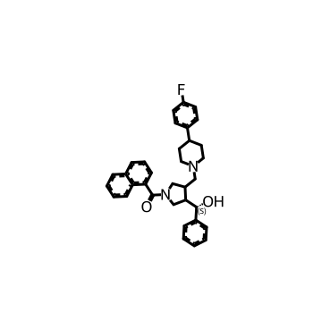 O=C(c1cccc2ccccc12)N1CC(CN2CCC(c3ccc(F)cc3)CC2)C([C@H](O)c2ccccc2)C1